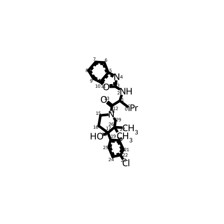 CC(C)C(Nc1nc2ccccc2o1)C(=O)N1CCC(O)(c2ccc(Cl)cc2)C(C)(C)C1